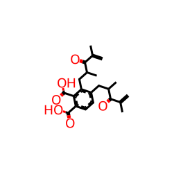 C=C(C)C(=O)C(C)Cc1ccc(C(=O)O)c(C(=O)O)c1CC(C)C(=O)C(=C)C